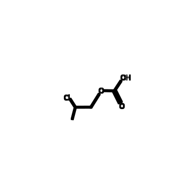 CC(Cl)COC(=O)O